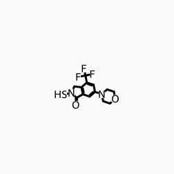 O=C1c2cc(N3CCOCC3)cc(C(F)(F)F)c2CN1S